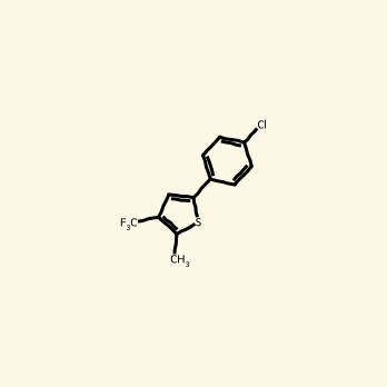 Cc1sc(-c2ccc(Cl)cc2)cc1C(F)(F)F